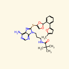 Cc1ccc(-c2ccccc2C2OC=C(Sc3nc4c(N)ncnc4n3CCCNC(=O)C(C)(C)C)O2)o1